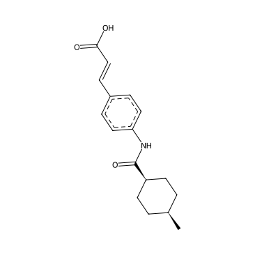 C[C@H]1CC[C@@H](C(=O)Nc2ccc(/C=C/C(=O)O)cc2)CC1